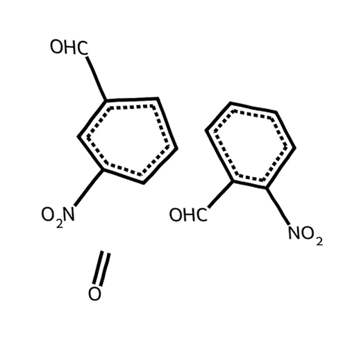 C=O.O=Cc1cccc([N+](=O)[O-])c1.O=Cc1ccccc1[N+](=O)[O-]